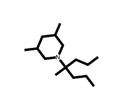 CCCC(C)(CCC)N1CC(C)CC(C)C1